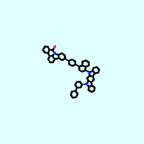 O=c1c2ccccc2c2cccc3c4cc(-c5ccc(-c6ccc(-n7c8ccccc8c8cc9c%10ccccc%10n(-c%10cccc(-c%11ccccc%11)c%10)c9cc87)c7ccccc67)cc5)ccc4n1c23